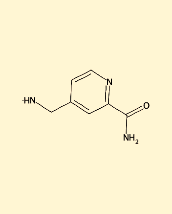 [NH]Cc1ccnc(C(N)=O)c1